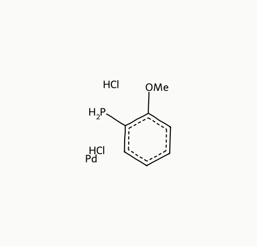 COc1ccccc1P.Cl.Cl.[Pd]